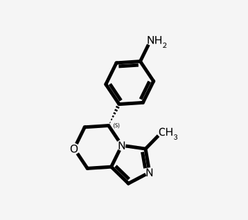 Cc1ncc2n1[C@@H](c1ccc(N)cc1)COC2